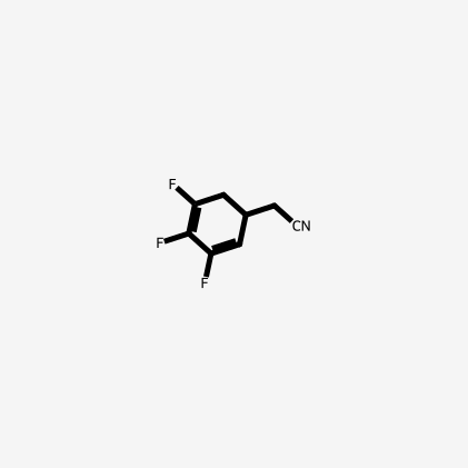 N#CCC1C=C(F)C(F)=C(F)C1